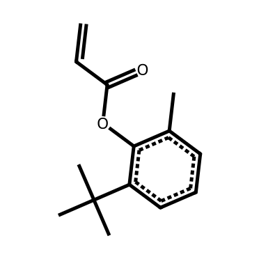 C=CC(=O)Oc1c(C)cccc1C(C)(C)C